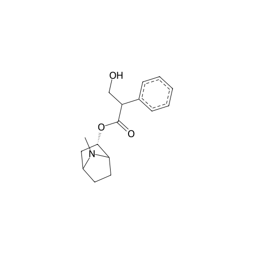 CN1C2CCC1[C@@H](OC(=O)C(CO)c1ccccc1)C2